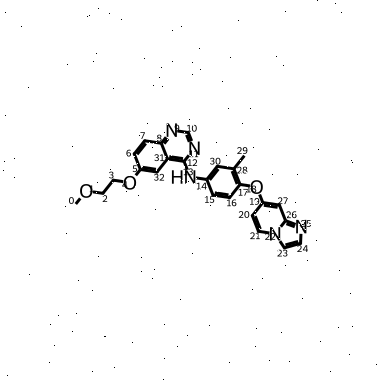 COCCOc1ccc2ncnc(Nc3ccc(Oc4ccn5ccnc5c4)c(C)c3)c2c1